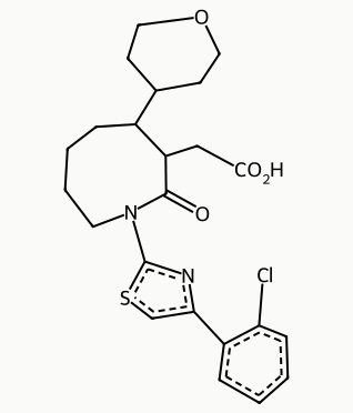 O=C(O)CC1C(=O)N(c2nc(-c3ccccc3Cl)cs2)CCCCC1C1CCOCC1